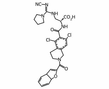 N#C/N=C(/NC[C@H](NC(=O)c1c(Cl)cc2c(c1Cl)CCN(C(=O)C1=CC3C=CC=CC3O1)C2)C(=O)O)N1CCCC1